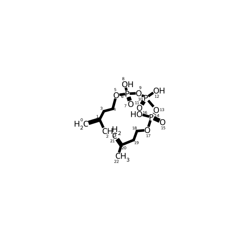 C=C(C)CCOP(=O)(O)OP(=O)(O)OP(=O)(O)OCCC(=C)C